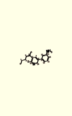 CCC/C=C(/C)c1cc(-c2cccc(N)c2)cnc1C